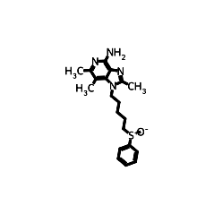 Cc1nc(N)c2nc(C)n(CCCCC[S+]([O-])c3ccccc3)c2c1C